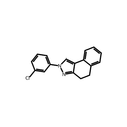 Clc1cccc(-n2[c]c3c(n2)CCc2ccccc2-3)c1